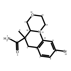 CC1(C(N)=O)Cc2ccc(Br)cc2N2CCOCC21